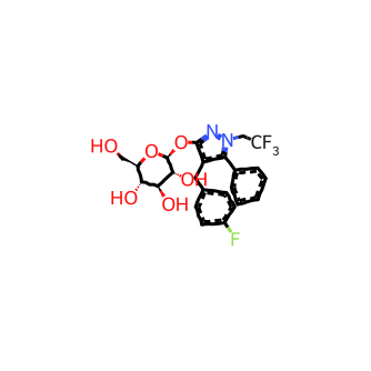 OC[C@H]1O[C@@H](Oc2nn(CC(F)(F)F)c(-c3ccccc3)c2Cc2ccc(F)cc2)[C@H](O)[C@@H](O)[C@@H]1O